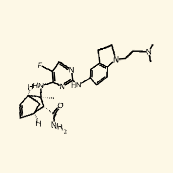 CN(C)CCN1CCc2cc(Nc3ncc(F)c(N[C@]4(C)[C@@H]5C=C[C@@H](C5)[C@H]4C(N)=O)n3)ccc21